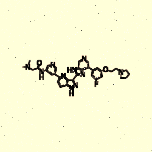 CN(C)CC(=O)Nc1cncc(-c2ccc3[nH]nc(-c4nc5c(-c6cc(F)cc(OCCN7CCCC7)c6)cncc5[nH]4)c3n2)c1